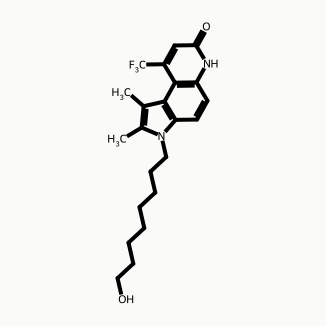 Cc1c(C)n(CCCCCCCCO)c2ccc3[nH]c(=O)cc(C(F)(F)F)c3c12